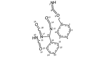 Cc1ccccc1.N=C=O.N=C=O.O=C=NC(N=C=O)c1ccccc1